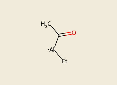 C[CH2][Al][C](C)=O